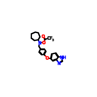 O=C(ON(Cc1ccc(Oc2ccc3[nH]cnc3c2)cc1)C1CCCCCC1)C(F)(F)F